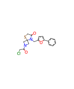 O=C(CCl)N1CC2(C1)SCC(=O)N2Cc1ccc(-c2ccccc2)o1